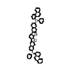 c1ccc(N(c2ccc3cc4c(cc3c2)oc2c4ccc3c4cc5ccc(N(c6ccccc6)c6cccc7c6ccc6ccccc67)cc5cc4oc32)c2cccc3c2ccc2ccccc23)cc1